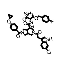 C[C@@H](OCc1ccc(F)cc1)[C@@H](NC(=O)C1CN(C(=O)Cc2c[nH]c3cc(Cl)ccc23)CC2CN(C(=O)c3ccc(OC4CC4)cc3)CC21)C(N)=O